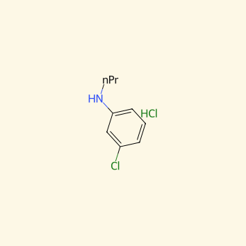 CCCNc1cccc(Cl)c1.Cl